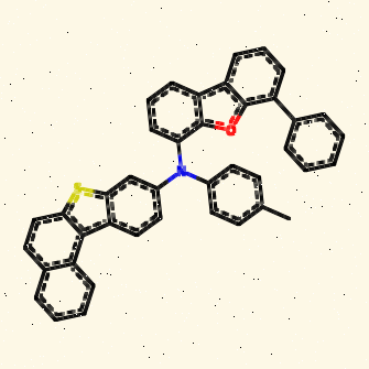 Cc1ccc(N(c2ccc3c(c2)sc2ccc4ccccc4c23)c2cccc3c2oc2c(-c4ccccc4)cccc23)cc1